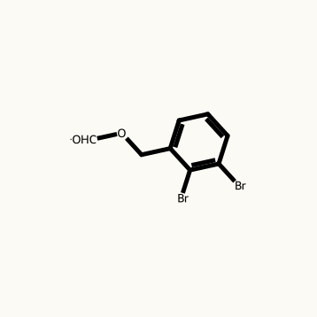 O=[C]OCc1cccc(Br)c1Br